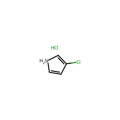 Cl.ClC1=C[SiH2]C=C1